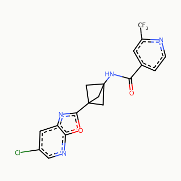 O=C(NC12CC(c3nc4cc(Cl)cnc4o3)(C1)C2)c1ccnc(C(F)(F)F)c1